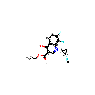 CCOC(=O)c1cn([C@@H]2C[C@@H]2F)c2c(F)c(F)ccc2c1=O